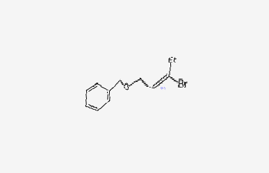 CC/C(Br)=C\COCc1ccccc1